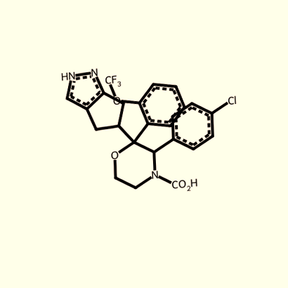 O=C(O)N1CCOC(c2ccccc2OC(F)(F)F)(C2Cc3c[nH]nc3C2)C1c1ccc(Cl)cc1